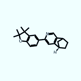 CC1(C)Oc2ccc(-c3cc4c(cn3)C3CC[C@H]4C3)cc2C1(C)C